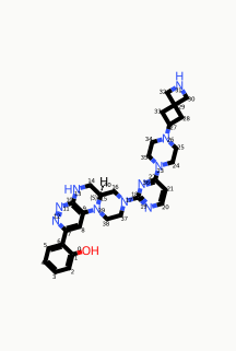 Oc1ccccc1-c1cc2c(nn1)NC[C@H]1CN(c3nccc(N4CCN(C5CC6(CNC6)C5)CC4)n3)CCN21